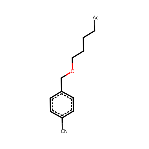 CC(=O)CCCCOCc1ccc(C#N)cc1